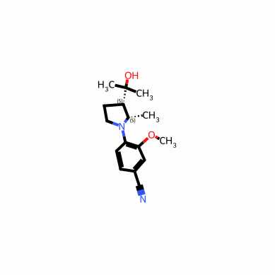 COc1cc(C#N)ccc1N1CC[C@H](C(C)(C)O)[C@@H]1C